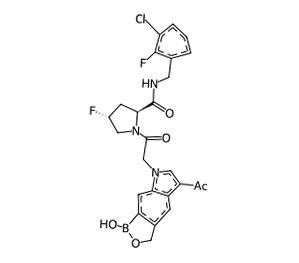 CC(=O)c1cn(CC(=O)N2C[C@H](F)C[C@H]2C(=O)NCc2cccc(Cl)c2F)c2cc3c(cc12)COB3O